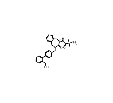 CC(C)(N)C(=O)N[C@@H]1Cc2ccccc2CN(Cc2ccc(-c3ccccc3CO)cc2)C1=O